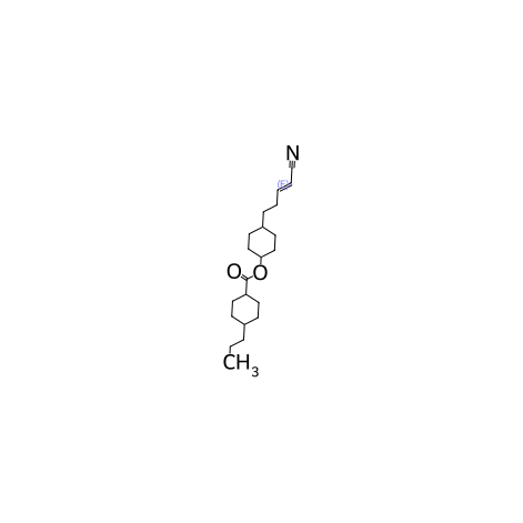 CCCC1CCC(C(=O)OC2CCC(CC/C=C/C#N)CC2)CC1